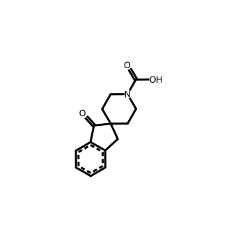 O=C(O)N1CCC2(CC1)Cc1ccccc1C2=O